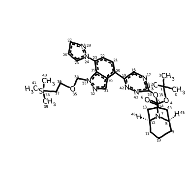 CC(C)(C)OC(=O)N1[C@@H]2CCC[C@H]1CC(Oc1ncc(-c3ccc(-n4cccn4)c4c3cnn4COCC[Si](C)(C)C)nn1)C2